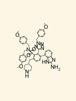 COc1ccc(CN(Cc2ccc(OC)cc2)S(=O)(=O)c2c(CC3CCNCC3)ccc(-c3cccc4nc(N)[nH]c34)c2-c2nnn(Cc3ccc(OC)cc3)n2)cc1